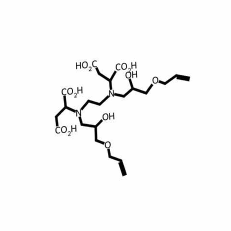 C=CCOCC(O)CN(CCN(CC(O)COCC=C)C(CC(=O)O)C(=O)O)C(CC(=O)O)C(=O)O